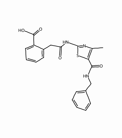 Cc1nc(NC(=O)Cc2ccccc2C(=O)O)sc1C(=O)NCc1ccccc1